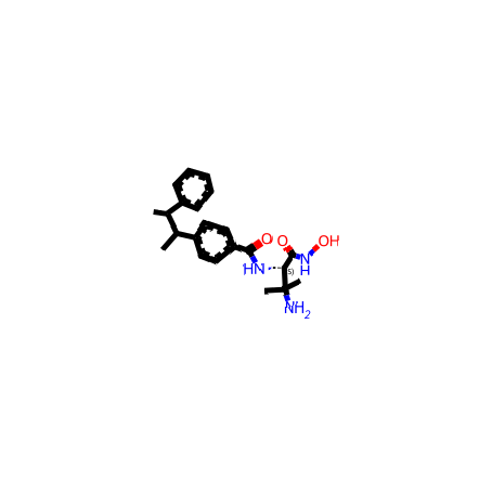 CC(c1ccccc1)C(C)c1ccc(C(=O)N[C@H](C(=O)NO)C(C)(C)N)cc1